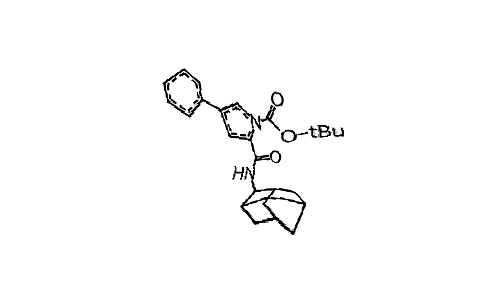 CC(C)(C)OC(=O)n1cc(-c2ccccc2)cc1C(=O)NC1C2CC3CC(C2)CC1C3